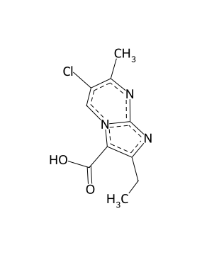 CCc1nc2nc(C)c(Cl)cn2c1C(=O)O